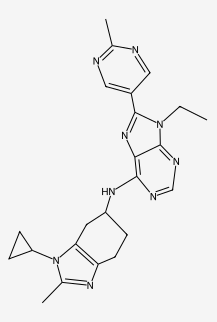 CCn1c(-c2cnc(C)nc2)nc2c(NC3CCc4nc(C)n(C5CC5)c4C3)ncnc21